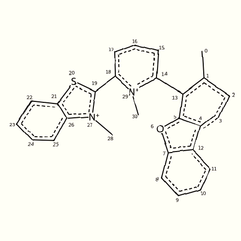 Cc1ccc2c(oc3ccccc32)c1-c1cccc(-c2sc3ccccc3[n+]2C)[n+]1C